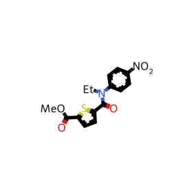 CCN(C(=O)c1ccc(C(=O)OC)s1)c1ccc([N+](=O)[O-])cc1